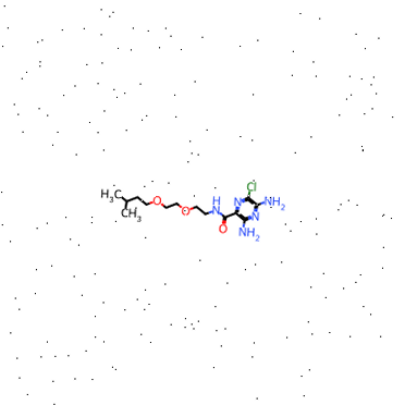 CC(C)CCOCCOCCNC(=O)c1nc(Cl)c(N)nc1N